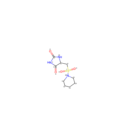 O=C1NC(=O)C(CS(=O)(=O)N2CCCCC2)N1